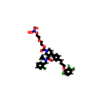 O=C(OCCOCCON(O)O)N1CC=C(c2ccc(CCCOc3c(F)ccc(F)c3F)cc2)C(C(=O)N(Cc2ccccc2F)C2CC2)C1